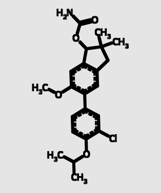 COc1cc2c(cc1-c1ccc(OC(C)C)c(Cl)c1)CC(C)(C)C2OC(N)=O